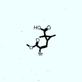 COC(=O)/C(Br)=C\C1C(C)C1(C)C(=O)O